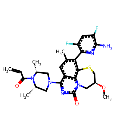 C=CC(=O)N1[C@H](C)CN(c2nc(=O)n3c4c(c(-c5nc(N)c(F)cc5F)c(C)cc24)SC[C@@H](OC)C3)C[C@@H]1C